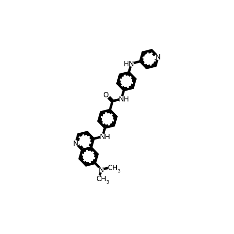 CN(C)c1ccc2nccc(Nc3ccc(C(=O)Nc4ccc(Nc5ccncc5)cc4)cc3)c2c1